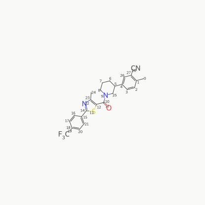 Cc1ccc(C2CCCN(C(=O)c3sc(-c4ccc(C(F)(F)F)cc4)nc3C)C2)cc1C#N